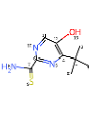 CC(C)(C)c1nc(C(N)=S)ncc1O